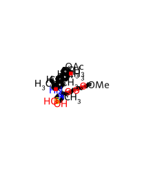 C=C(C)[C@@H]1CC[C@]2(NC[C@H]([C@@H](C)OCCOCCOCCOC)N3CCS(O)(O)CC3)CC[C@]3(C)[C@H](CC[C@@H]4[C@@]5(C)CC[C@H](OC(C)=O)C(C)(C)[C@@H]5CC[C@]43C)[C@@H]12